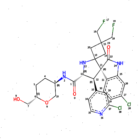 O=C(N[C@@H]1CC[C@@H](CO)OC1)[C@@H]1NC2(CC(CF)(CF)C2)[C@@]2(C(=O)Nc3cc(Cl)ccc32)[C@H]1c1ccnc(Cl)c1